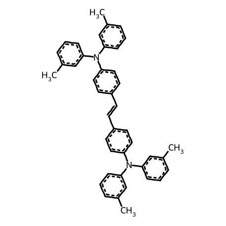 Cc1cccc(N(c2ccc(C=Cc3ccc(N(c4cccc(C)c4)c4cccc(C)c4)cc3)cc2)c2cccc(C)c2)c1